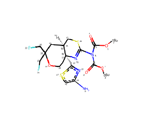 CC(C)(C)OC(=O)N(C(=O)OC(C)(C)C)C1=N[C@@]2(c3nc(N)cs3)COC(CF)(CF)C[C@H]2CS1